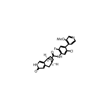 COc1cnccc1-c1cc(F)c(NC(=O)N2[C@H]3CC[C@@H]2c2c[nH]c(=O)cc2C3)cc1Cl